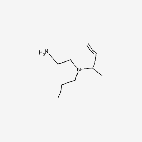 C=CC(C)N(CCC)CCN